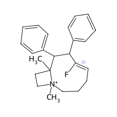 CC12CC[N+]1(C)CCC/C=C(\F)C(c1ccccc1)C2c1ccccc1